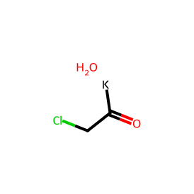 O.O=[C]([K])CCl